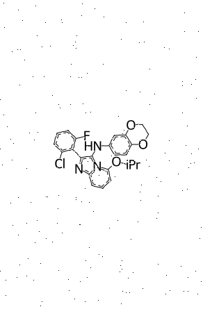 CC(C)Oc1cccc2nc(-c3c(F)cccc3Cl)c(Nc3ccc4c(c3)OCCO4)n12